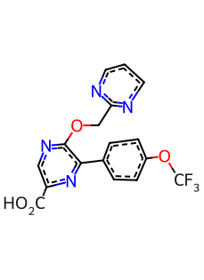 O=C(O)c1cnc(OCc2ncccn2)c(-c2ccc(OC(F)(F)F)cc2)n1